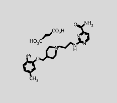 Cc1ccc(C(C)C)c(OCC2CCN(CCCNc3nccc(C(N)=O)n3)CC2)c1.O=C(O)C=CC(=O)O